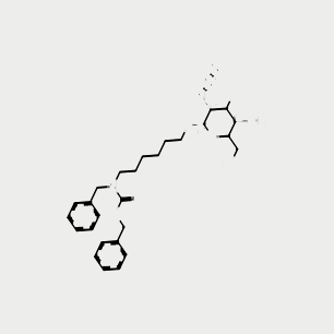 [N-]=[N+]=N[C@H]1C(O)[C@@H](O)C(CO)O[C@H]1OCCCCCCN(Cc1ccccc1)C(=O)OCc1ccccc1